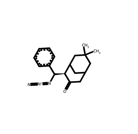 CC1(C)CC2CC(=O)[C@@H](C(N=[N+]=[N-])c3ccccc3)C(C2)C1